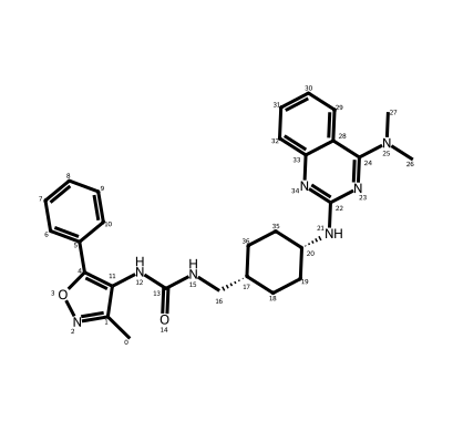 Cc1noc(-c2ccccc2)c1NC(=O)NC[C@H]1CC[C@@H](Nc2nc(N(C)C)c3ccccc3n2)CC1